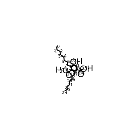 CCCCCCCCc1c(O)cc(C(=O)O)c(CCCCCCCC)c1C(=O)O